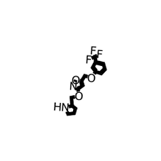 FC(F)(F)c1cccc(OCc2cc(OCC3CCCN3)no2)c1